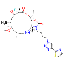 B[C@@H]1CC(=O)[C@](C)(F)C(=O)O[C@H](CC)[C@@]2(C)OC(=O)N(CCCCn3cc(-c4nccs4)nn3)[C@@H]2[C@@H](C)NC[C@H](C)C[C@@]1(C)OC